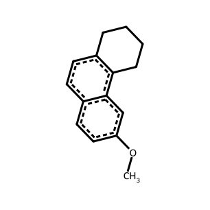 COc1ccc2ccc3c(c2c1)CCCC3